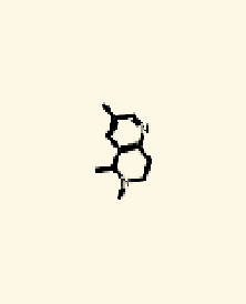 Cc1cnc2c(c1)C(C)N(C)CC2